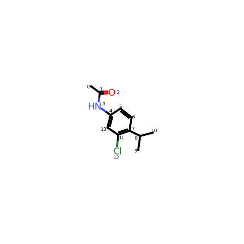 CC(=O)Nc1ccc(C(C)C)c(Cl)c1